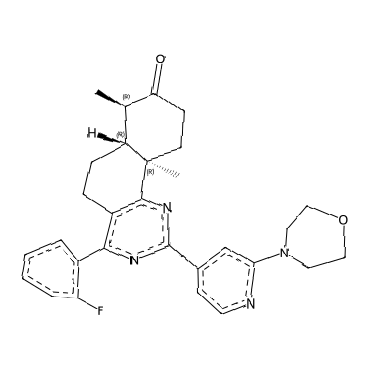 C[C@H]1C(=O)CC[C@@]2(C)c3nc(-c4ccnc(N5CCOCC5)c4)nc(-c4ccccc4F)c3CC[C@H]12